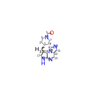 C[C@@H]1CCN(C=O)C[C@@H]1c1ncc2cnc3[nH]ccc3n12